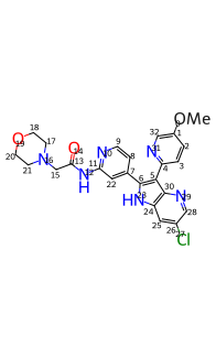 COc1ccc(-c2c(-c3ccnc(NC(=O)CN4CCOCC4)c3)[nH]c3cc(Cl)cnc23)nc1